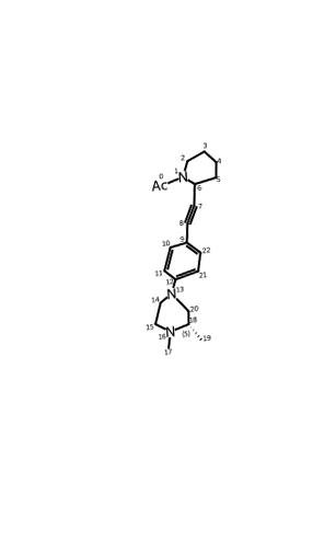 CC(=O)N1CCCCC1C#Cc1ccc(N2CCN(C)[C@@H](C)C2)cc1